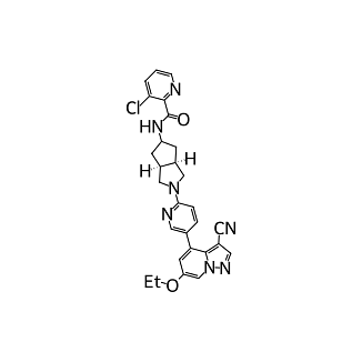 CCOc1cc(-c2ccc(N3C[C@H]4CC(NC(=O)c5ncccc5Cl)C[C@H]4C3)nc2)c2c(C#N)cnn2c1